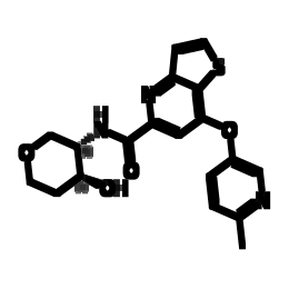 Cc1ccc(Oc2cc(C(=O)N[C@H]3COCC[C@@H]3O)nc3ccsc23)cn1